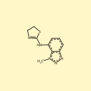 Cn1nnc2cccc(NC3=NCCS3)c21